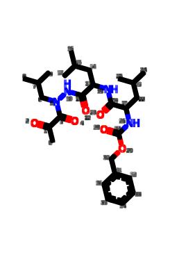 CC(=O)C(=O)N(CC(C)C)NC(=O)C(CC(C)C)NC(=O)C(CC(C)C)NC(=O)OCc1ccccc1